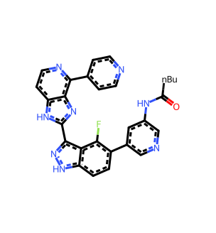 CCCCC(=O)Nc1cncc(-c2ccc3[nH]nc(-c4nc5c(-c6ccncc6)nccc5[nH]4)c3c2F)c1